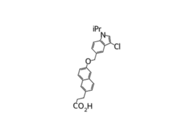 CC(C)n1cc(Cl)c2cc(COc3ccc4cc(CCC(=O)O)ccc4c3)ccc21